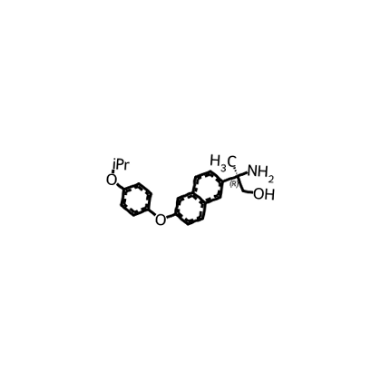 CC(C)Oc1ccc(Oc2ccc3cc([C@@](C)(N)CO)ccc3c2)cc1